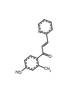 Cc1cc(O)ccc1C(=O)/C=C/c1ccccn1